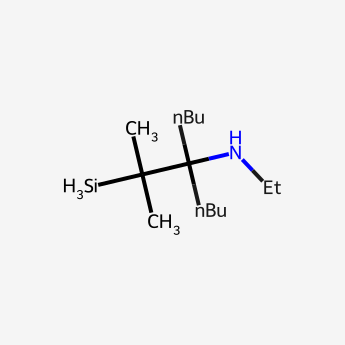 CCCCC(CCCC)(NCC)C(C)(C)[SiH3]